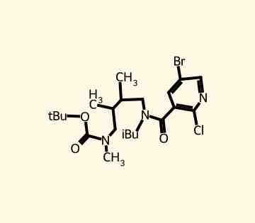 CCC(C)N(CC(C)C(C)CN(C)C(=O)OC(C)(C)C)C(=O)c1cc(Br)cnc1Cl